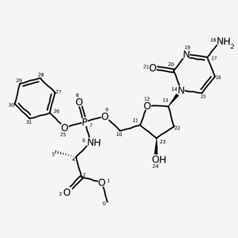 COC(=O)[C@H](C)NP(=O)(OCC1O[C@@H](n2ccc(N)nc2=O)C[C@H]1O)Oc1ccccc1